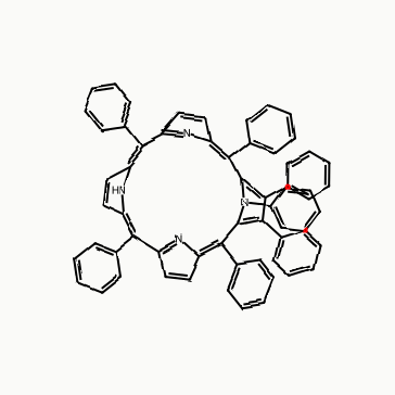 C1=Cc2nc1c(-c1ccccc1)c1ccc([nH]1)c(-c1ccccc1)c1nc(c(-c3ccccc3)c3c(-c4ccccc4)c(-c4ccccc4)c(c2-c2ccccc2)n3-c2ccccc2)C=C1